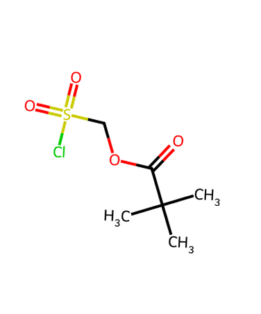 CC(C)(C)C(=O)OCS(=O)(=O)Cl